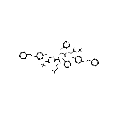 CC(C)CCN[C@@](Cc1ccncc1)(N[C@@H](Cc1ccncc1)C(=O)N[C@@H](Cc1ccc(OCc2ccccc2)cc1)C(=O)NC(C)(C)C)C(=O)N[C@@H](Cc1ccc(OCc2ccccc2)cc1)C(=O)NC(C)(C)C